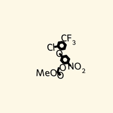 COC(=O)COc1cc(Oc2ccc(C(F)(F)F)cc2Cl)ccc1[N+](=O)[O-]